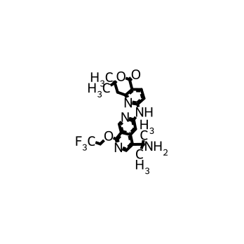 CC1(C)Cc2nc(Nc3cc4c(C(C)(C)N)cnc(OCC(F)(F)F)c4cn3)ccc2C(=O)O1